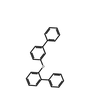 c1ccc(-c2cccc(Oc3ccccc3-c3ccccc3)c2)cc1